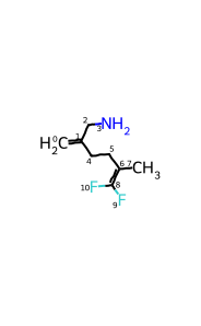 C=C(CN)CCC(C)=C(F)F